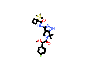 COC(C(=O)N1Cc2c(NC(=O)C3(S(C)(C)C)CCC3)n[nH]c2C1(C)C)c1ccc(F)cc1